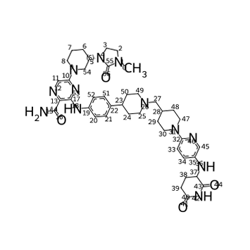 CN1CCN([C@H]2CCCN(c3cnc(C(N)=O)c(Nc4ccc(C5CCN(CC6CCN(c7ccc(NC8CCC(=O)NC8=O)cn7)CC6)CC5)cc4)n3)C2)C1=O